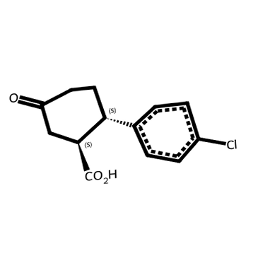 O=C1CC[C@H](c2ccc(Cl)cc2)[C@@H](C(=O)O)C1